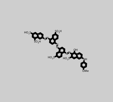 COc1ccc(Nc2ccc3c(O)c(N=Nc4ccc(N=Nc5ccc(N=Nc6ccc7cc(S(=O)(=O)O)cc(S(=O)(=O)O)c7c6)c6cc(S(=O)(=O)O)ccc56)c5cc(S(=O)(=O)O)ccc45)c(S(=O)(=O)O)cc3c2)cc1